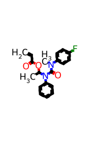 C=CC(=O)OC(C)N(C(=O)N(C)c1ccc(F)cc1)c1ccccc1